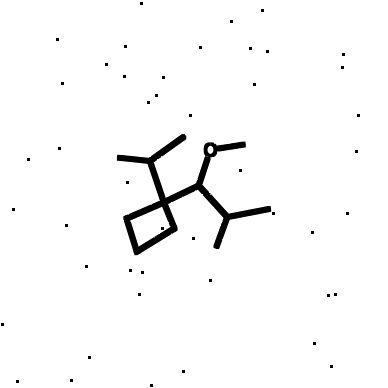 COC(C(C)C)C1(C(C)C)CCC1